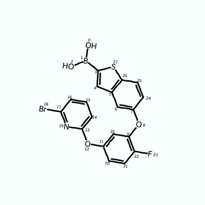 OB(O)c1cc2cc(Oc3cc(Oc4cccc(Br)n4)ccc3F)ccc2s1